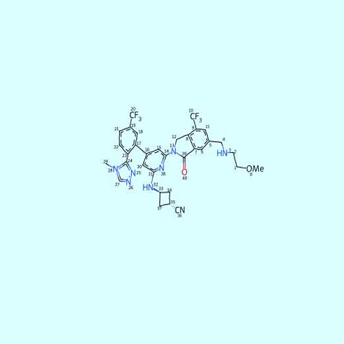 COCCNCc1cc2c(c(C(F)(F)F)c1)CN(c1cc(-c3cc(C(F)(F)F)ccc3-c3nncn3C)cc(N[C@H]3C[C@H](C#N)C3)n1)C2=O